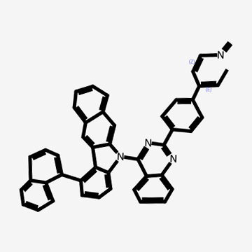 C=N/C=C\C(=C/C)c1ccc(-c2nc(-n3c4cc5ccccc5cc4c4c(-c5cccc6ccccc56)cccc43)c3ccccc3n2)cc1